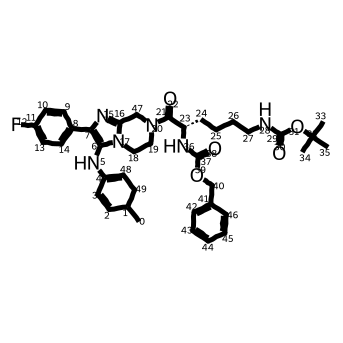 CC1C=CC(Nc2c(-c3ccc(F)cc3)nc3n2CCN(C(=O)[C@H](CCCCNC(=O)OC(C)(C)C)NC(=O)OCc2ccccc2)C3)=CC1